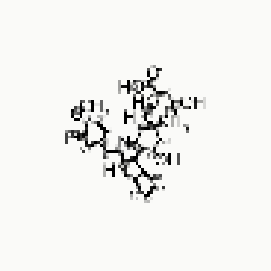 COc1ccc(Cc2nc3c(c4c2[nH]c2ccccc24)[C@H](O)CC(C)(C)C3)cc1F.O=C(O)CC(O)C(=O)O